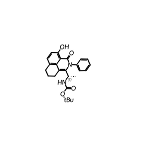 C[C@H](NC(=O)OC(C)(C)C)c1c2c3c(ccc(O)c3c(=O)n1-c1ccccc1)CCC2